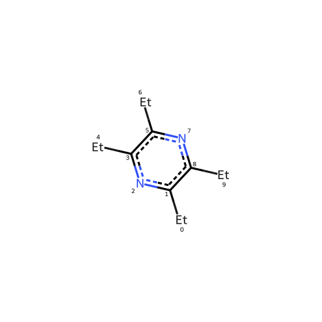 CCc1nc(CC)c(CC)nc1CC